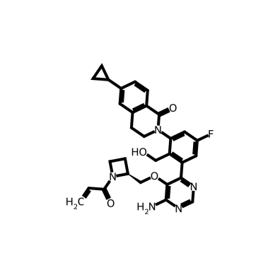 C=CC(=O)N1CC[C@H]1COc1c(N)ncnc1-c1cc(F)cc(N2CCc3cc(C4CC4)ccc3C2=O)c1CO